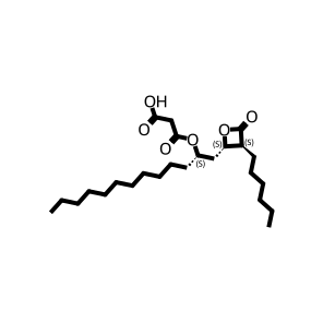 CCCCCCCCCCC[C@@H](C[C@@H]1OC(=O)[C@H]1CCCCCC)OC(=O)CC(=O)O